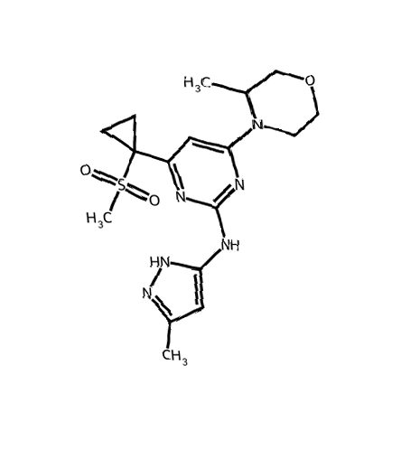 Cc1cc(Nc2nc(N3CCOCC3C)cc(C3(S(C)(=O)=O)CC3)n2)[nH]n1